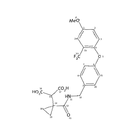 COc1ccc(Oc2ccc(CNC(=O)C3(C(C(=O)O)C(=O)O)CC3)cc2)c(C(F)(F)F)c1